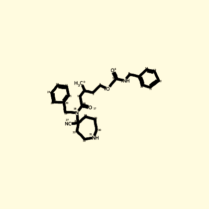 CC(CCOC(=O)NCc1ccccc1)CC(=O)N(Cc1ccccc1)C1(C#N)CCCNCC1